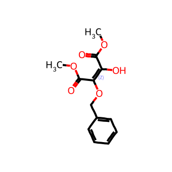 COC(=O)/C(O)=C(/OCc1ccccc1)C(=O)OC